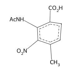 CC(=O)Nc1c(C(=O)O)ccc(C)c1[N+](=O)[O-]